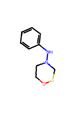 c1ccc(NN2CCOSC2)cc1